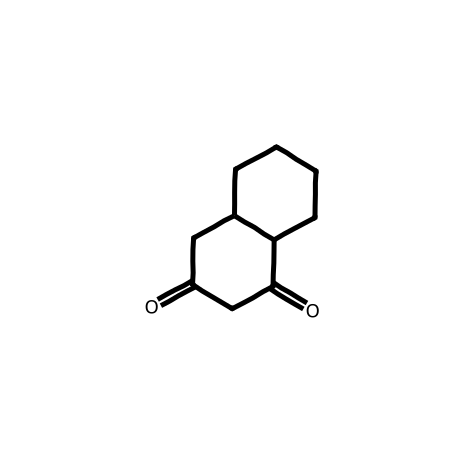 O=C1CC(=O)C2CCCCC2C1